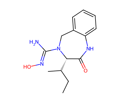 CCC(C)[C@H]1C(=O)Nc2ccccc2CN1C(N)=NO